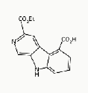 CCOC(=O)c1cc2c(cn1)[nH]c1cccc(C(=O)O)c12